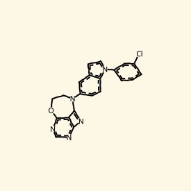 Clc1cccc(-n2ccc3cc(N4CCOc5ncnc6c5C4=N6)ccc32)c1